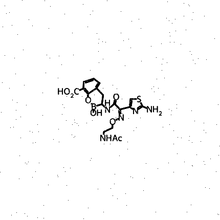 CC(=O)NCCON=C(C(=O)NC1Cc2cccc(C(=O)O)c2OB1O)c1csc(N)n1